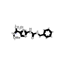 CCOC(=O)/C(=N/OC)c1csc(NC(=O)OCc2ccccc2)n1